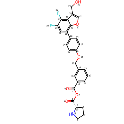 O=C(OC(=O)[C@@H]1CCCN1)c1cccc(COc2ccc(-c3cc(F)c(F)c4c(CO)coc34)cc2)c1